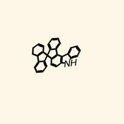 C1=CC2=C(CC1)c1ccccc1C21c2ccccc2-c2c1ccc1[nH]c3ccccc3c21